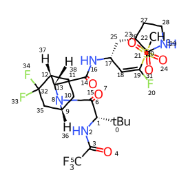 CC(C)(C)[C@H](NC(=O)C(F)(F)F)C(=O)N1[C@@H]2CC[C@H]([C@@H]1C(=O)N[C@@H](/C=C(/F)S(C)(=O)=O)C[C@@H]1CCNC1=O)C(F)(F)C2